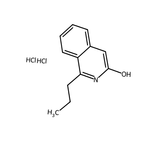 CCCc1nc(O)cc2ccccc12.Cl.Cl